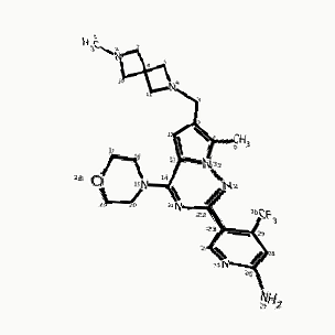 Cc1c(CN2CC3(CN(C)C3)C2)cc2c(N3CCOCC3)nc(-c3cnc(N)cc3C(F)(F)F)nn12